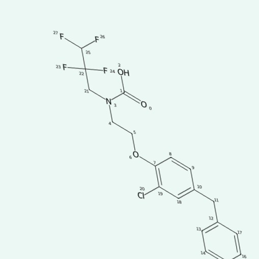 O=C(O)N(CCOc1ccc(Cc2ccccc2)cc1Cl)CC(F)(F)C(F)F